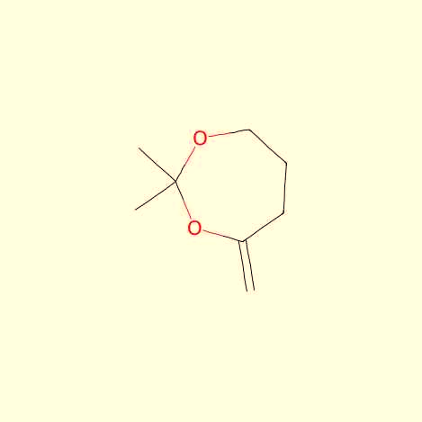 C=C1CCCOC(C)(C)O1